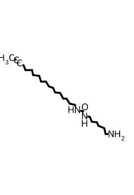 CCCCCCCCCCCCCCCCCCNC(=O)NCCCCCCN